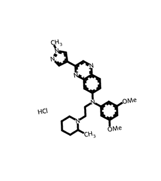 COc1cc(OC)cc(N(CCN2CCCCC2C)c2ccc3ncc(-c4cnn(C)c4)nc3c2)c1.Cl